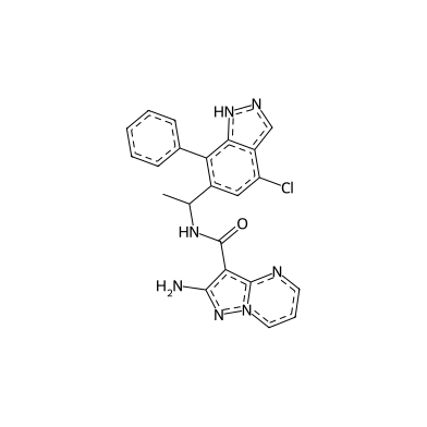 CC(NC(=O)c1c(N)nn2cccnc12)c1cc(Cl)c2cn[nH]c2c1-c1ccccc1